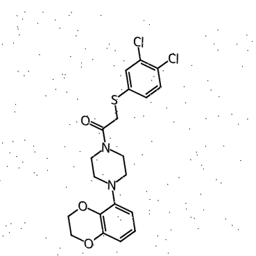 O=C(CSc1ccc(Cl)c(Cl)c1)N1CCN(c2cccc3c2OCCO3)CC1